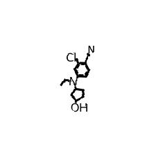 CCN(c1ccc(C#N)c(Cl)c1)C1CCC(O)C1